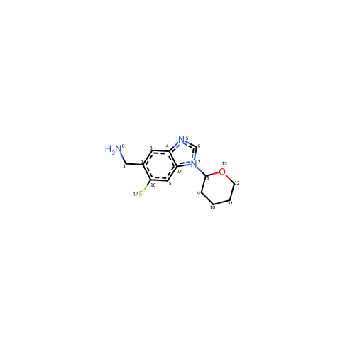 NCc1cc2ncn(C3CCCCO3)c2cc1F